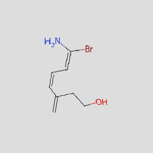 C=C(/C=C\C=C(/N)Br)CCO